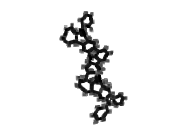 c1ccc(-n2c3ccccc3c3cc4c(cc32)c2cccc3c5cc6c(cc5n4c23)c2cccc3c4cc5c(cc4n6c32)c2ccccc2n5-c2ccccc2)cc1